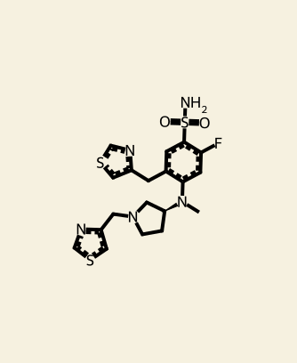 CN(c1cc(F)c(S(N)(=O)=O)cc1Cc1cscn1)[C@H]1CCN(Cc2cscn2)C1